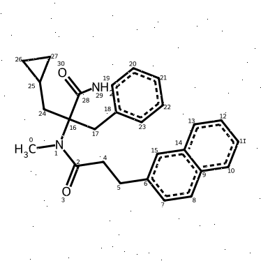 CN(C(=O)CCc1ccc2ccccc2c1)C(Cc1ccccc1)(CC1CC1)C(N)=O